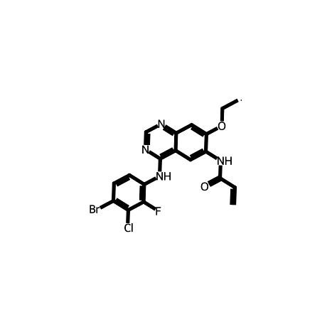 [CH2]COc1cc2ncnc(Nc3ccc(Br)c(Cl)c3F)c2cc1NC(=O)C=C